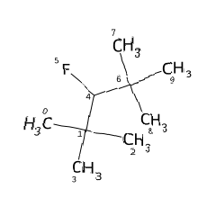 CC(C)(C)C(F)C(C)(C)C